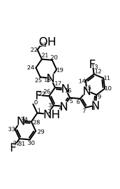 CC(Nc1nc(-c2cnc3ccc(F)cn23)nc(N2CCC(CO)CC2)c1F)c1ccc(F)cn1